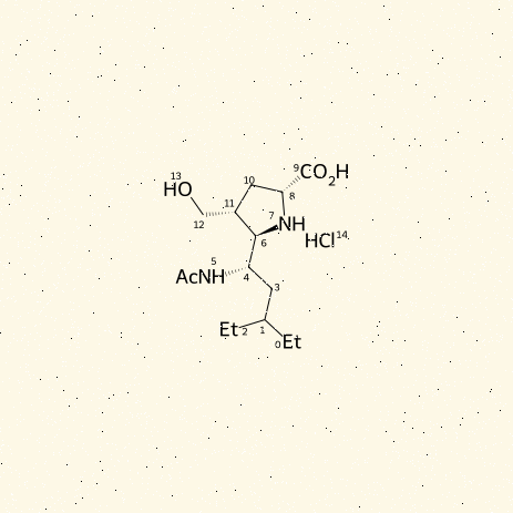 CCC(CC)C[C@H](NC(C)=O)[C@@H]1N[C@@H](C(=O)O)C[C@H]1CO.Cl